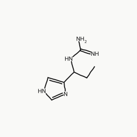 CCC(NC(=N)N)c1c[nH]cn1